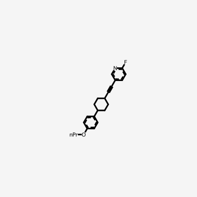 CCCOc1ccc(C2CCC(C#Cc3ccc(F)nc3)CC2)cc1